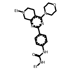 CCNC(=O)Nc1ccc(-c2nc3c(c(N4CCOCC4)n2)CCN(CC)C3)cc1